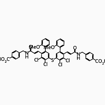 COc1ccccc1-c1cc(Sc2cc(-c3ccccc3OC)c(/C=C/C(=O)NCc3ccc(C(=O)O)cc3)c(Cl)c2Cl)c(Cl)c(Cl)c1/C=C/C(=O)NCc1ccc(C(=O)O)cc1